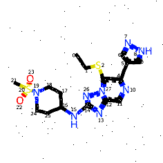 CCSc1c(-c2cn[nH]c2)ncc2nc(NC3CCN(S(C)(=O)=O)CC3)nn12